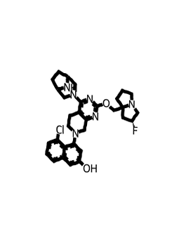 Oc1cc(N2CCc3c(nc(OCC45CCCN4C[C@H](F)C5)nc3N3CC4CCC(C3)N4)C2)c2c(Cl)cccc2c1